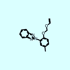 C=COCOc1ccc(C)cc1-n1n2c3ccccc3n12